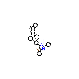 CC1(C)c2ccccc2C2C=C3C(=CC21)C1CCC=C(c2ccc(C4NC(c5ccccc5)=Nc5c4sc4ccccc54)cc2)C1C31CCCCC1